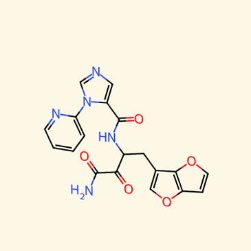 NC(=O)C(=O)C(Cc1coc2ccoc12)NC(=O)c1cncn1-c1ccccn1